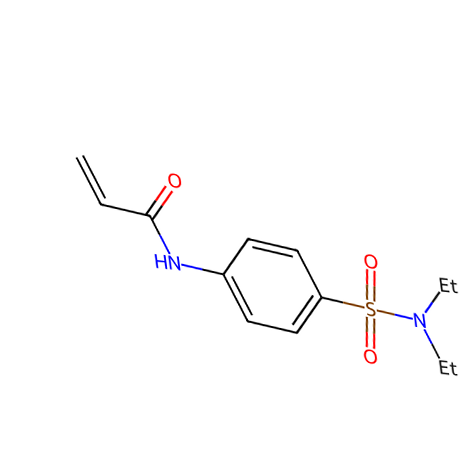 C=CC(=O)Nc1ccc(S(=O)(=O)N(CC)CC)cc1